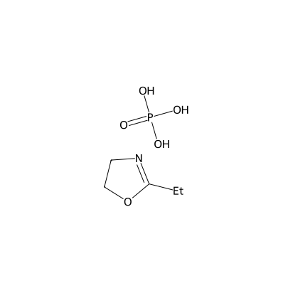 CCC1=NCCO1.O=P(O)(O)O